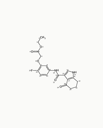 CCOC(=O)COc1cc(NC(=O)c2c[nH]c3c2C(=O)CCC3)ccc1F